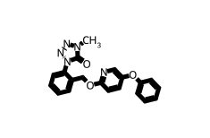 Cn1nnn(-c2ccccc2COc2ccc(Oc3ccccc3)cn2)c1=O